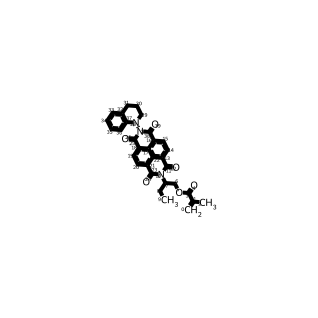 C=C(C)C(=O)OCC(CC)N1C(=O)c2ccc3c4c(ccc(c24)C1=O)C(=O)N(N1CCCc2ccccc21)C3=O